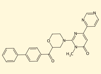 Cn1c(N2CCOC(C(=O)c3ccc(-c4ccccc4)cc3)C2)nc(-c2ccncn2)cc1=O